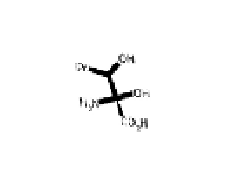 CC(C)C(O)[C@@](N)(O)C(=O)O